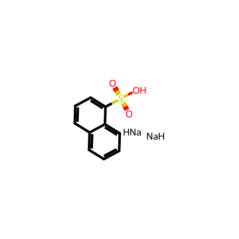 O=S(=O)(O)c1cccc2ccccc12.[NaH].[NaH]